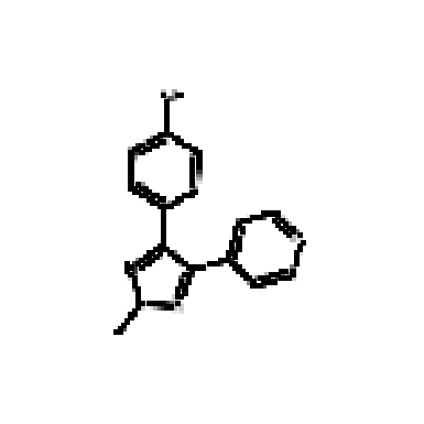 Cn1nc(-c2ccncc2)c(-c2ccc(O)cc2)n1